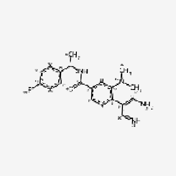 C[C@@H](NC(=O)c1ccc(/C(C=N)=C/N)c(N(C)C)c1)c1ccc(F)cc1